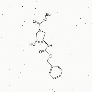 CC(C)(C)OC(=O)N1C[C@H](O)[C@H](NC(=O)OCc2ccccc2)C1